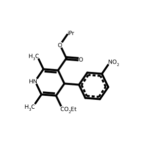 CCOC(=O)C1=C(C)NC(C)=C(C(=O)OC(C)C)C1c1cccc([N+](=O)[O-])c1